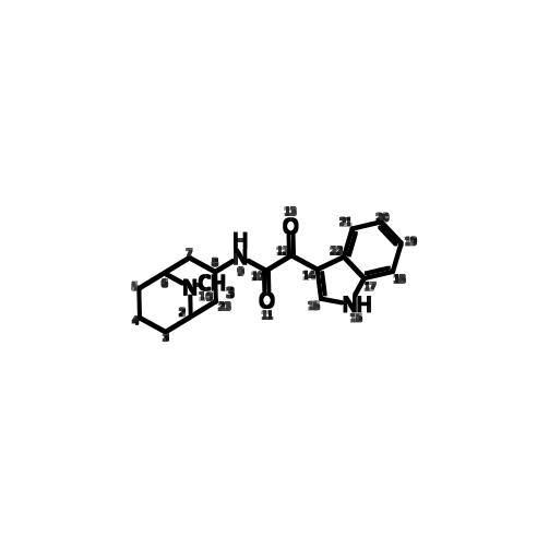 CN1C2CCCC1CC(NC(=O)C(=O)c1c[nH]c3ccccc13)C2